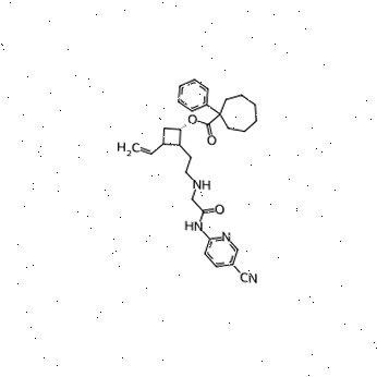 C=CC1C[C@H](OC(=O)C2(c3ccccc3)CCCCCC2)C1CCNCC(=O)Nc1ccc(C#N)cn1